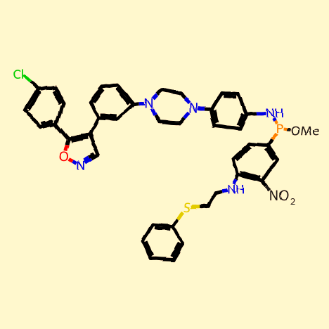 COP(Nc1ccc(N2CCN(c3cccc(-c4cnoc4-c4ccc(Cl)cc4)c3)CC2)cc1)c1ccc(NCCSc2ccccc2)c([N+](=O)[O-])c1